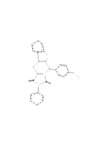 COc1ccc(C2C3Nc4ccccc4C3CC3C(=O)N(c4ccccc4)C(=O)N32)cc1